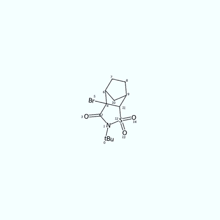 CC(C)(C)N1C(=O)C2(Br)C3CCC(C3)C2S1(=O)=O